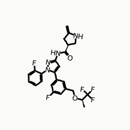 C=C1C[C@H](C(=O)Nc2cc(-c3cc(F)cc(CO[C@H](C)C(F)(F)F)c3)n(-c3ccccc3F)n2)CN1